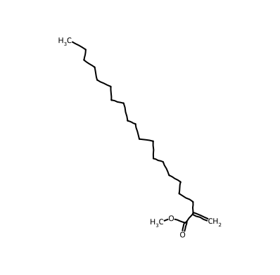 C=C(CCCCCCCCCCCCCCCCCC)C(=O)OC